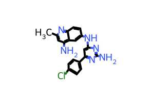 Cc1cc(N)c2cc(Nc3cc(-c4ccc(Cl)cc4)nc(N)n3)ccc2n1